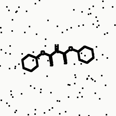 S=C(NC(=S)OC1CCCCC1)OC1CCCCC1